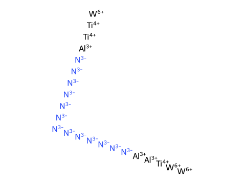 [Al+3].[Al+3].[Al+3].[N-3].[N-3].[N-3].[N-3].[N-3].[N-3].[N-3].[N-3].[N-3].[N-3].[N-3].[N-3].[N-3].[Ti+4].[Ti+4].[Ti+4].[W+6].[W+6].[W+6]